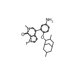 CC1CC2CC(C)C(Oc3ccc(N)cc3-c3cn(C)c(=O)c4c3ccn4I)C(C1)C2